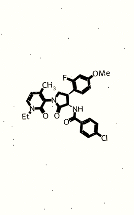 CCn1ccc(C)c(N2C[C@@H](c3ccc(OC)cc3F)[C@H](NC(=O)c3ccc(Cl)cc3)C2=O)c1=O